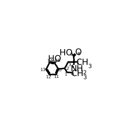 CCC(CC(C)(N)C(=O)O)c1ccccc1O